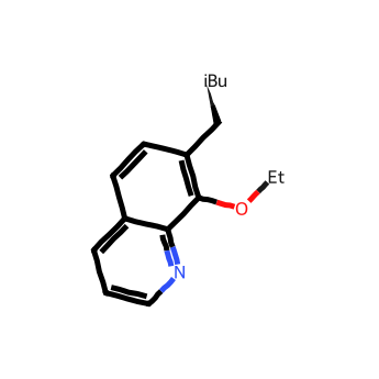 CCOc1c(C[C@H](C)CC)ccc2cccnc12